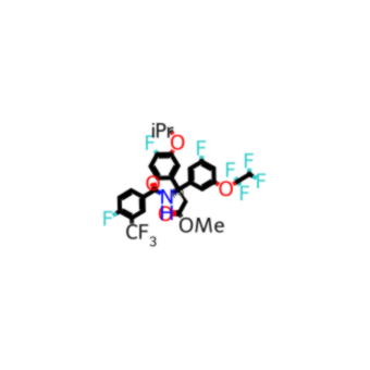 COC(=O)C[C@](NC(=O)c1ccc(F)c(C(F)(F)F)c1)(c1cc(F)cc(OC(F)(F)C(F)F)c1)c1ccc(F)c(OC(C)C)c1